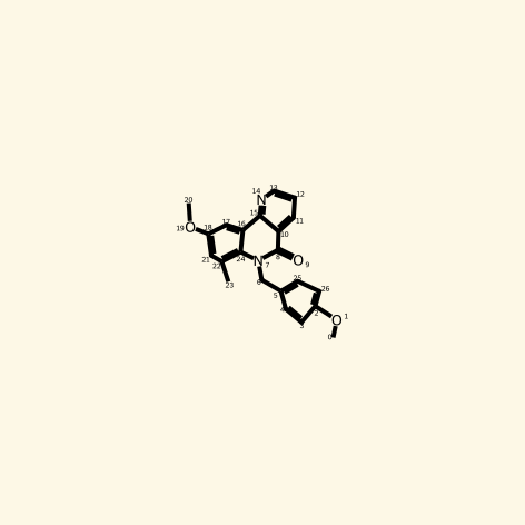 COc1ccc(Cn2c(=O)c3cccnc3c3cc(OC)cc(C)c32)cc1